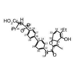 CCC1=C(O)C2C(C)=C(C(=O)N(C)c3ccc(-c4ccc(S(=O)(=O)N[C@H](C(=O)O)C(C)C)cc4)cc3)OC2C=C1